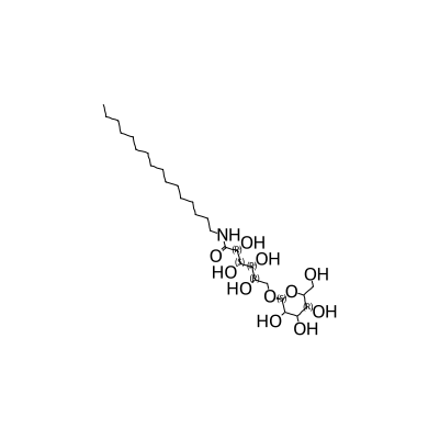 CCCCCCCCCCCCCCCCNC(=O)[C@H](O)[C@@H](O)[C@H](O)[C@H](O)CO[C@H]1OC(CO)[C@H](O)C(O)C1O